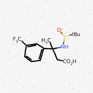 CC(CC(=O)O)(N[S+]([O-])C(C)(C)C)c1cccc(C(F)(F)F)c1